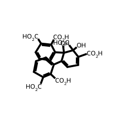 O=C(O)C1=CC=C(c2cccc(C(=O)O)c2C(=O)O)C(O)(c2cccc(C(=O)O)c2C(=O)O)C1(O)C(=O)O